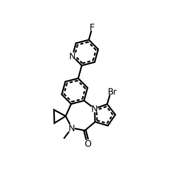 CN1C(=O)c2ccc(Br)n2-c2cc(-c3ccc(F)cn3)ccc2C12CC2